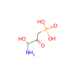 NC(O)C(=O)CP(=O)(O)O